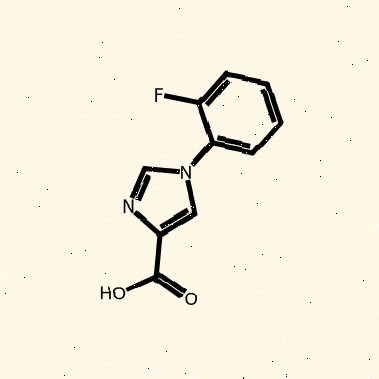 O=C(O)c1cn(-c2ccccc2F)cn1